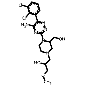 COCC(O)CN1CCN(c2nnc(-c3cccc(Cl)c3Cl)c(N)n2)C(CO)C1